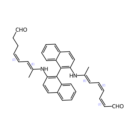 C\C(=C/C=C\C=C/C=O)Nc1ccc2ccccc2c1-c1c(N/C(C)=C/C=C\CCC=O)ccc2ccccc12